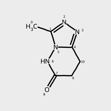 Cc1nnc2n1NC(=O)CC2